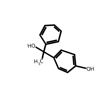 CC(O)(c1ccccc1)c1ccc(O)cc1